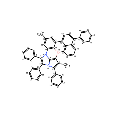 Cc1c2c3n(c(-c4ccccc4)c(-c4ccccc4)n3c1-c1ccccc1)-c1cc(C(C)(C)C)cc3c1B2c1cccc2c(-c4ccccc4)ccc-3c12